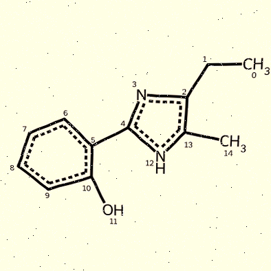 CCc1nc(-c2ccccc2O)[nH]c1C